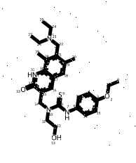 CCOc1ccc(NC(=S)N(CCO)Cc2cc3cc(C)c(CN(CC)CC)c(C)c3[nH]c2=O)cc1